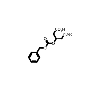 CCCCCCCCCCC[C@H](CC(=O)O)OC(=O)OCc1ccccc1